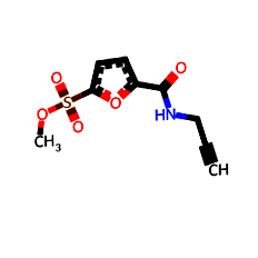 C#CCNC(=O)c1ccc(S(=O)(=O)OC)o1